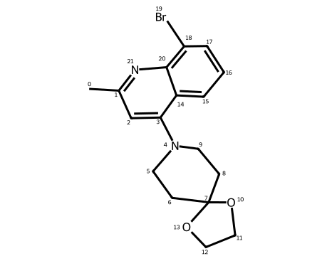 Cc1cc(N2CCC3(CC2)OCCO3)c2cccc(Br)c2n1